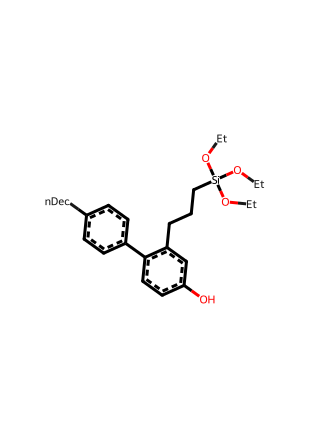 CCCCCCCCCCc1ccc(-c2ccc(O)cc2CCC[Si](OCC)(OCC)OCC)cc1